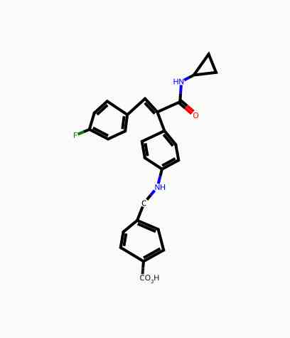 O=C(NC1CC1)/C(=C/c1ccc(F)cc1)c1ccc(NCc2ccc(C(=O)O)cc2)cc1